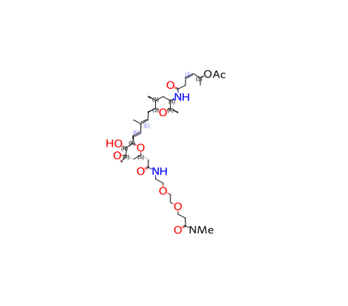 CNC(=O)CCOCCOCCNC(=O)C[C@@H]1C[C@@]2(CO2)[C@H](O)[C@@H](/C=C/C(C)=C/C[C@@H]2O[C@H](C)[C@H](NC(=O)C/C=C\[C@H](C)OC(C)=O)C[C@@H]2C)O1